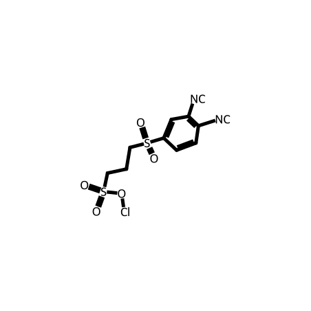 [C-]#[N+]c1ccc(S(=O)(=O)CCCS(=O)(=O)OCl)cc1[N+]#[C-]